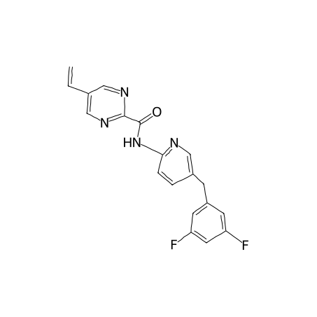 C=Cc1cnc(C(=O)Nc2ccc(Cc3cc(F)cc(F)c3)cn2)nc1